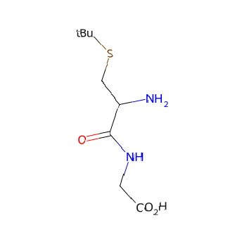 CC(C)(C)SCC(N)C(=O)NCC(=O)O